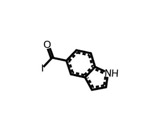 O=C(I)c1ccc2[nH]ccc2c1